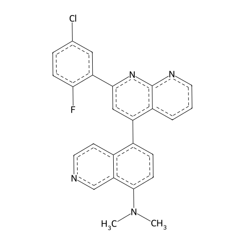 CN(C)c1ccc(-c2cc(-c3cc(Cl)ccc3F)nc3ncccc23)c2ccncc12